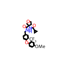 COc1ccc(Oc2ccc(CNC(=O)C3(NC(=O)C4CC4)CCOC3)cc2)c(C(F)(F)F)c1